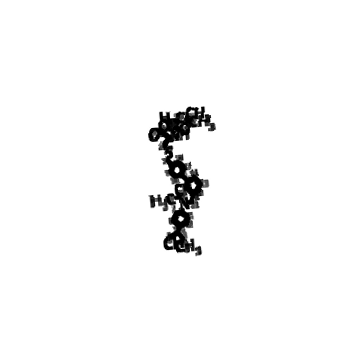 CCC(CC)c1ccc(N(Cc2cccc(-c3ccc(CSCC(NC(=O)OC(C)(C)C)C(=O)O)cc3)c2)C(C)C)cc1